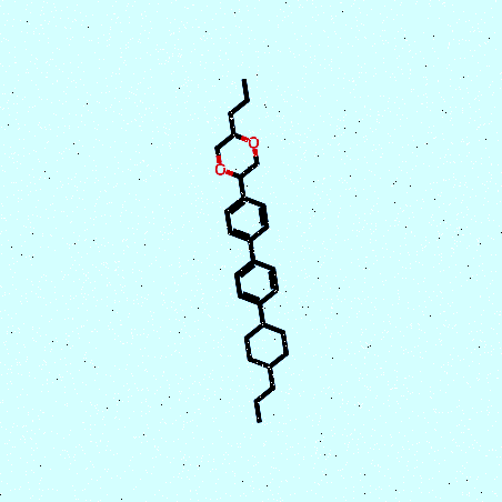 CCCC1CCC(c2ccc(-c3ccc(C4COC(CCC)CO4)cc3)cc2)CC1